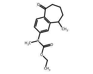 CCOC(=O)N(C)c1ccc2c(c1)C(C)CCCC2=O